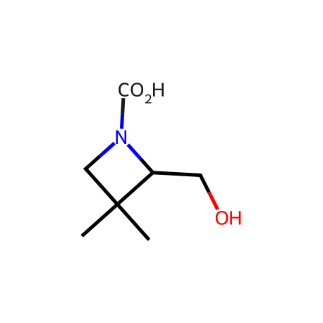 CC1(C)CN(C(=O)O)C1CO